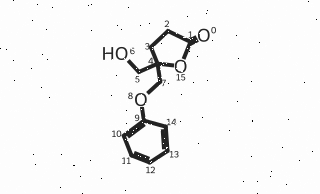 O=C1CCC(CO)(COc2ccccc2)O1